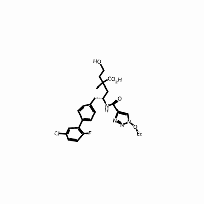 CCOn1cc(C(=O)N[C@H](Cc2ccc(-c3cc(Cl)ccc3F)cc2)CC(C)(CCO)C(=O)O)nn1